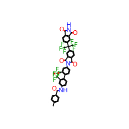 Cc1ccc(C(=O)Nc2ccc(-c3ccc(N4C(=O)c5ccc(C(c6ccc7c(c6)C(=O)NC7=O)(C(F)(F)F)C(F)(F)F)cc5C4=O)cc3C(F)(F)F)c(C(F)(F)F)c2)cc1